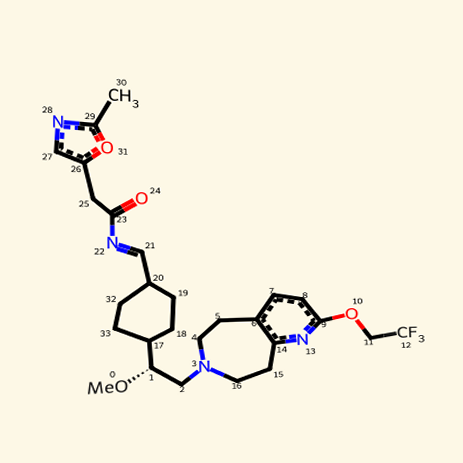 CO[C@@H](CN1CCc2ccc(OCC(F)(F)F)nc2CC1)C1CCC(/C=N/C(=O)Cc2cnc(C)o2)CC1